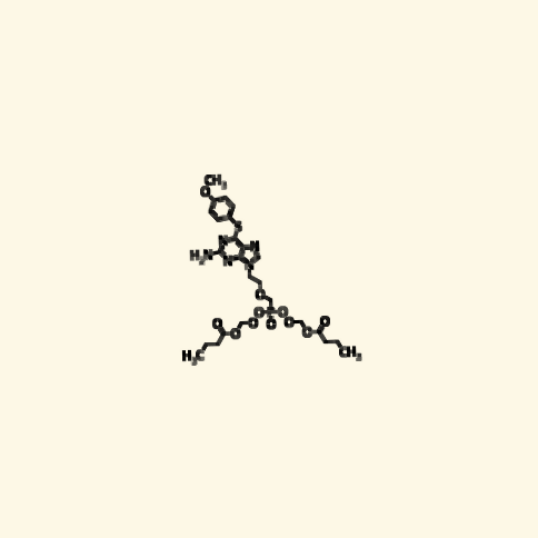 CCCC(=O)OCOOP(=O)(COCCn1cnc2c(Sc3ccc(OC)cc3)nc(N)nc21)OOCOC(=O)CCC